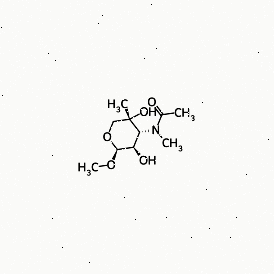 CO[C@H]1OC[C@](C)(O)[C@H](N(C)C(C)=O)[C@H]1O